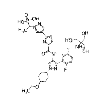 CCO[C@H]1CC[C@H](n2cc(NC(=O)c3csc(-c4cnn(C(C)P(=O)(O)O)c4)n3)c(-c3nc(F)ccc3F)n2)CC1.NC(CO)(CO)CO